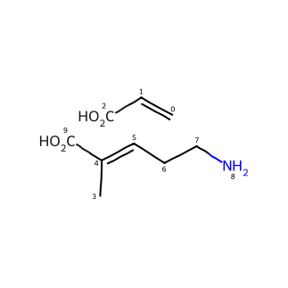 C=CC(=O)O.CC(=CCCN)C(=O)O